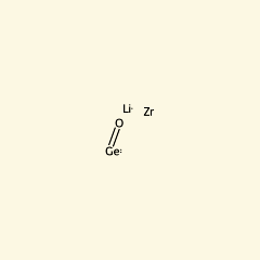 [Li].[O]=[Ge].[Zr]